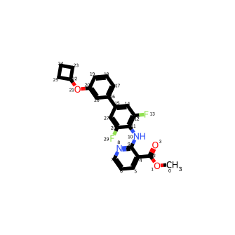 COC(=O)c1cccnc1Nc1c(F)cc(-c2cccc(OC3CCC3)c2)cc1F